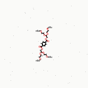 CCCCOCCOC(COC(=O)c1ccc(C(=O)OCC(OCCOCCCC)OCCOCCCC)cc1)OCCOCCCC